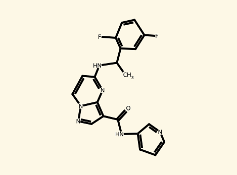 CC(Nc1ccn2ncc(C(=O)Nc3cccnc3)c2n1)c1cc(F)ccc1F